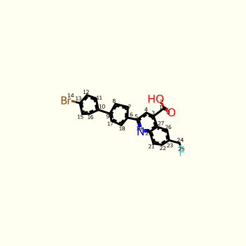 O=C(O)c1cc(-c2ccc(-c3ccc(Br)cc3)cc2)nc2ccc(CF)cc12